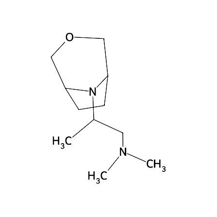 CC(CN(C)C)N1C2CCC1COC2